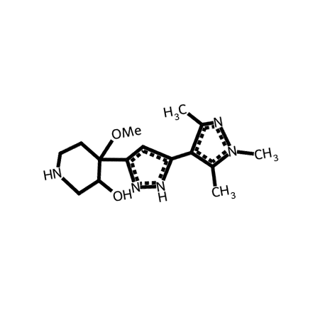 COC1(c2cc(-c3c(C)nn(C)c3C)[nH]n2)CCNCC1O